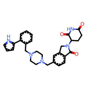 O=C1CCC(N2Cc3cc(CN4CCN(Cc5ccccc5-c5ccc[nH]5)CC4)ccc3C2=O)C(=O)N1